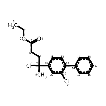 CCOC(=O)CCC(C)(Cl)c1ccc(-c2ccccc2)c(Cl)c1